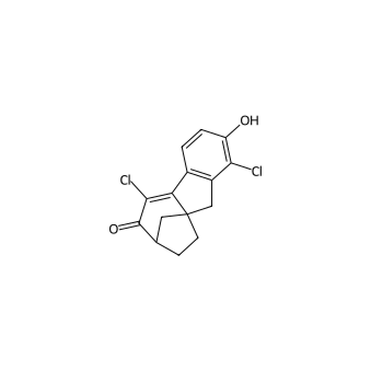 O=C1C(Cl)=C2c3ccc(O)c(Cl)c3CC23CCC1C3